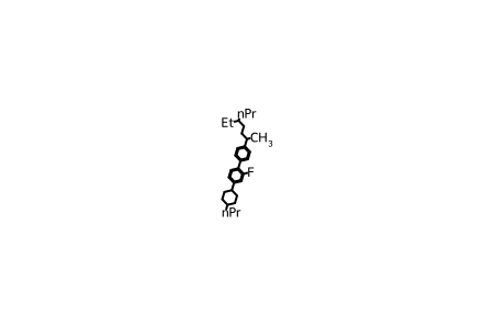 CCCC(CC)CCC(C)c1ccc(-c2ccc(C3CCC(CCC)CC3)cc2F)cc1